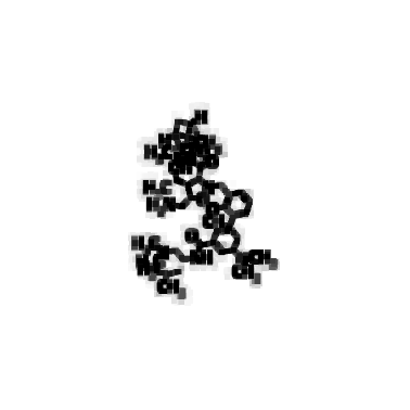 COc1c(CN2O[C@@H](CN)[C@@H]([C@H](C)O)[C@H]2C(=O)N[C@H]2C[C@H]3C[C@@H]([C@@H]2C)C3(C)C)cccc1C1=CC(C(=O)N[C@H](CC(C)C)CN(C)C)=CC(N(C)C)C1